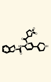 O=C(NC1C=CC(C2=CCNCC2)=CN1C(=O)C1CCS(=O)(=O)C1)N1Cc2ccccc2C1